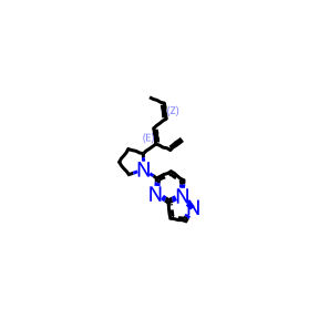 C=C/C(=C\C=C/C)C1CCCN1c1ccn2nccc2n1